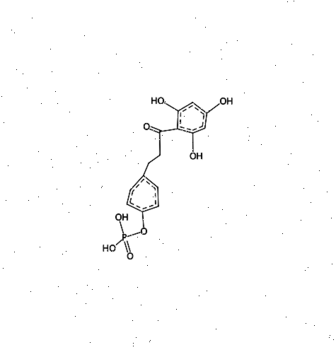 O=C(CCc1ccc(OP(=O)(O)O)cc1)c1c(O)cc(O)cc1O